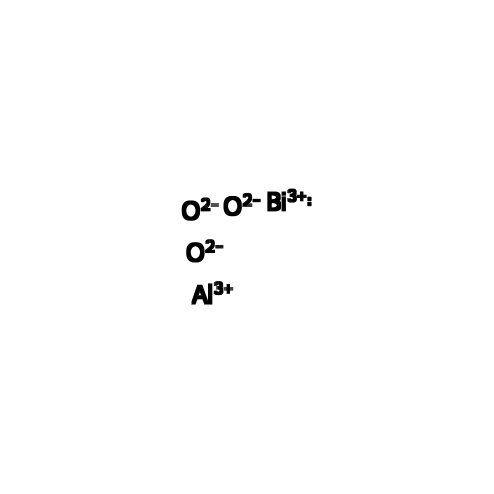 [Al+3].[Bi+3].[O-2].[O-2].[O-2]